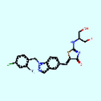 O=C1N=C(NC(CO)CO)S/C1=C\c1ccc2c(cnn2Cc2ccc(Cl)cc2C(F)(F)F)c1